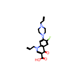 C=CCN1CCN(c2cc3c(cc2F)c(=O)c(C(=O)O)cn3CC=C)CC1